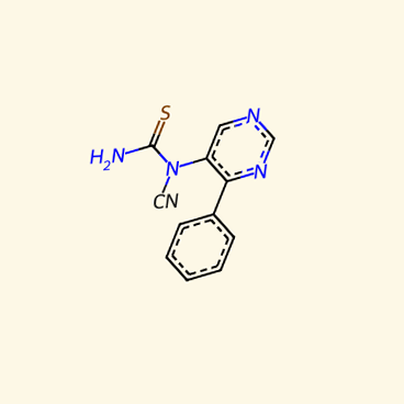 N#CN(C(N)=S)c1cncnc1-c1ccccc1